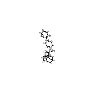 O=C(NN1CCN(c2ncccn2)CC1)C12CC3CC(CC(C3)C1)C2